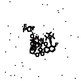 COCOc1cc(Oc2nc3nc(OC[C@@H]4CC(F)(F)CN4C)nc(N4CC5CCC(C4)N5C(=O)OC(C)(C)C)c3n2C2CCC2)c2c(C#C[Si](C(C)C)(C(C)C)C(C)C)c(F)ccc2c1